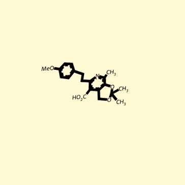 COc1ccc(CCc2nc(C)c3c(c2C(=O)O)COC(C)(C)O3)cc1